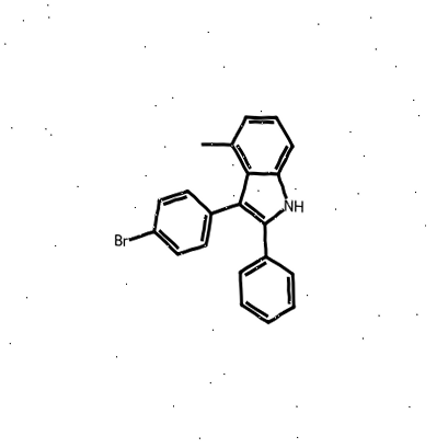 Cc1cccc2[nH]c(-c3ccccc3)c(-c3ccc(Br)cc3)c12